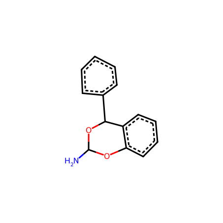 NC1Oc2ccccc2C(c2ccccc2)O1